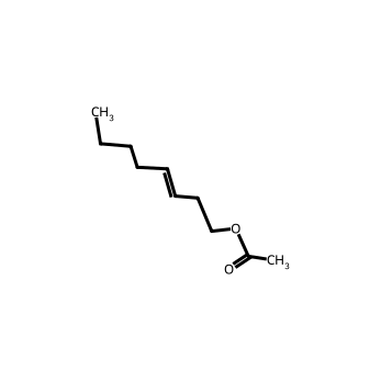 CCCC/C=C/CCOC(C)=O